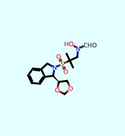 CC(C)(CN(O)C=O)S(=O)(=O)N1Cc2ccccc2C1[C@H]1COCO1